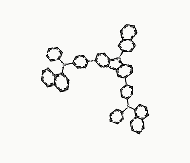 c1ccc(N(c2ccc(-c3ccc4c(c3)c3cc(-c5ccc(N(c6ccccc6)c6cccc7ccccc67)cc5)ccc3n4-c3ccc4ccccc4c3)cc2)c2cccc3ccccc23)cc1